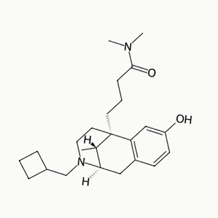 C[C@H]1[C@H]2Cc3ccc(O)cc3[C@]1(CCCC(=O)N(C)C)CCN2CC1CCC1